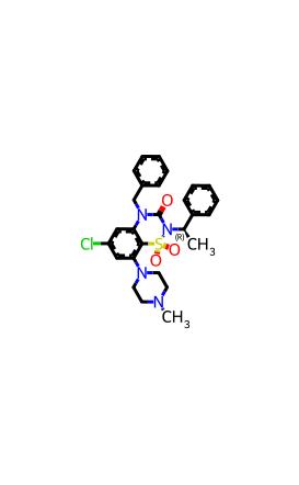 C[C@H](c1ccccc1)N1C(=O)N(Cc2ccccc2)c2cc(Cl)cc(N3CCN(C)CC3)c2S1(=O)=O